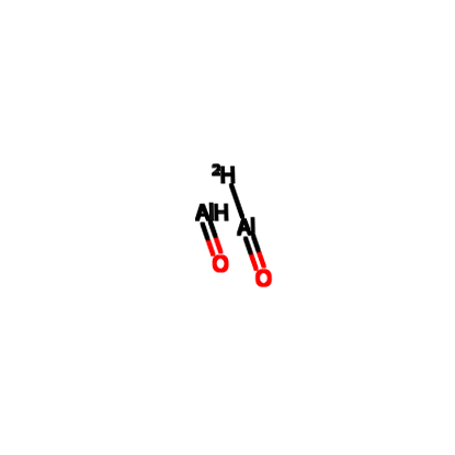 [2H][Al]=[O].[O]=[AlH]